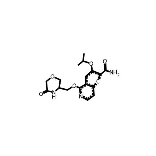 CC(C)Oc1cc2c(OCC3COCC(=O)N3)nccc2cc1C(N)=O